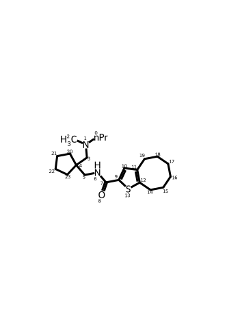 CCCN(C)CC1(CNC(=O)c2cc3c(s2)CCCCCC3)CCCC1